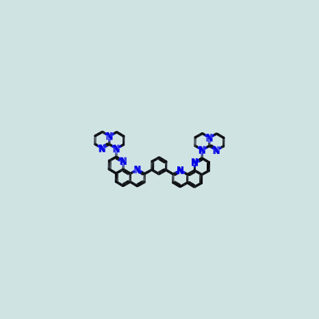 c1cc(-c2ccc3ccc4ccc(N5CCCN6CCCN=C65)nc4c3n2)cc(-c2ccc3ccc4ccc(N5CCCN6CCCN=C65)nc4c3n2)c1